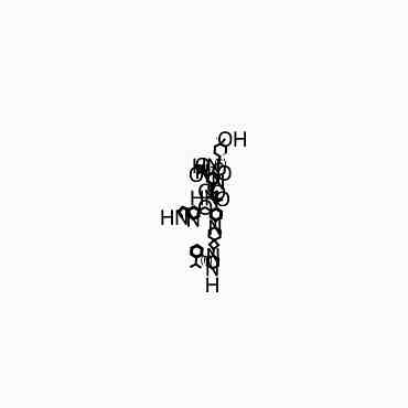 CC(C)c1ccccc1[C@@H]1CNCCN1C1CC2(CCN(c3ccc(C(=O)NS(=O)(=O)c4cc([N+](=O)[O-])c5c(n4)OC[C@H]([C@H]4CC[C@](C)(O)CC4)N5)c(Oc4cnc5[nH]ccc5c4)c3)CC2)C1